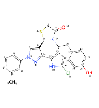 Cc1cccc(-n2cc([C@H]3SCC(=O)N3CCc3ccc(O)cc3)c(-c3ccc(Cl)[nH]3)n2)c1